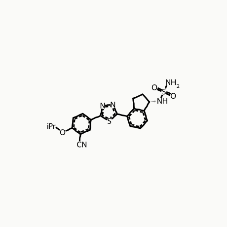 CC(C)Oc1ccc(-c2nnc(-c3cccc4c3CC[C@@H]4NS(N)(=O)=O)s2)cc1C#N